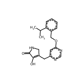 CC(C)c1ccccc1COc1cc(CC2=C(O)C(=O)NC2)ncn1